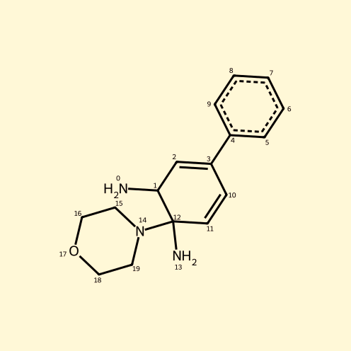 NC1C=C(c2ccccc2)C=CC1(N)N1CCOCC1